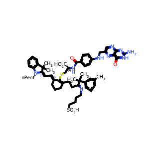 CCCCCN1/C(=C/C=C2\CCCC(CCC3=[N+](CCCCS(=O)(=O)O)c4ccc(C)cc4C3(C)C)=C2SC[C@H](NC(=O)c2ccc(NCc3cnc4nc(N)[nH]c(=O)c4n3)cc2)C(=O)O)C(C)(C)c2ccccc21